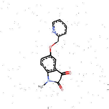 CN1C(=O)C(=O)c2cc(OCc3ccccn3)ccc21